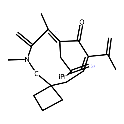 C=C(C)/C1=C/CC2(CCC2)CN(C)C(=C)/C(C)=C(\CC(=C)C(C)C)C1=O